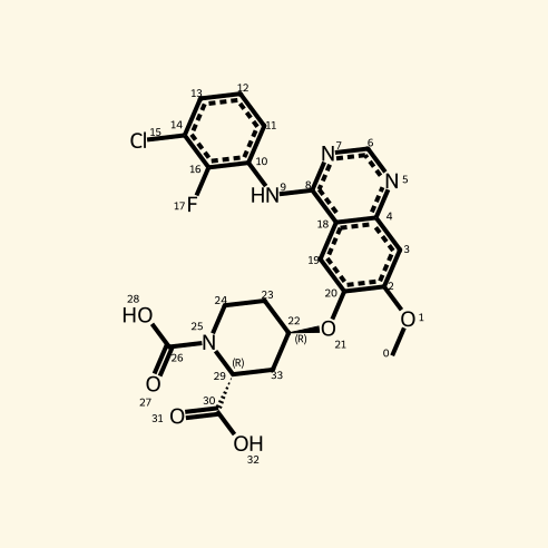 COc1cc2ncnc(Nc3cccc(Cl)c3F)c2cc1O[C@@H]1CCN(C(=O)O)[C@@H](C(=O)O)C1